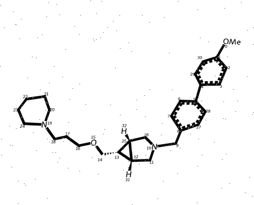 COc1ccc(-c2ccc(CN3C[C@@H]4[C@H](COCCCN5CCCCC5)[C@@H]4C3)cc2)cc1